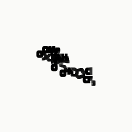 COC(=O)C(C)(C)CN1C(=O)N[C@@](CCC(=O)N2Cc3cc(Cl)c(C(F)(F)F)cc3C2)(C2CC2)C1=O